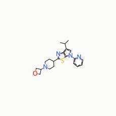 CC(C)c1cn(-c2ccccn2)c2sc(C3CCN(C4COC4)CC3)nc12